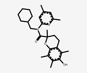 Cc1cc(C)nc(N(CC2CCCCC2)C(=O)C2(C)CCc3c(C)c(O)c(C)c(C)c3O2)c1